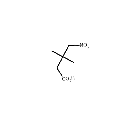 CC(C)(CC(=O)O)C[N+](=O)[O-]